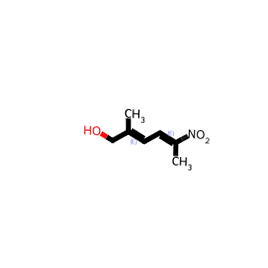 C/C(=C\C=C(/C)[N+](=O)[O-])CO